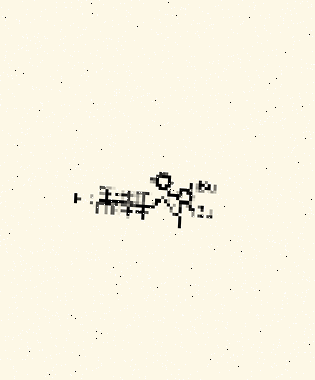 CCCCc1cc(CCCC)c(O)c(C(SCCC(F)(F)C(F)(F)C(F)(F)C(F)(F)C(F)(F)C(F)(F)C(F)(F)C(F)(F)F)c2cccc(C)c2)c1